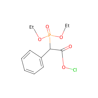 CCOP(=O)(OCC)C(C(=O)OCl)c1ccccc1